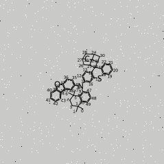 CC1(C)CCC(C)(C)c2c(N(c3ccc4c(c3)Sc3ccccc3C43C4CC5CC6CC3C64C5)c3ccc4oc5ccccc5c4c3)cccc21